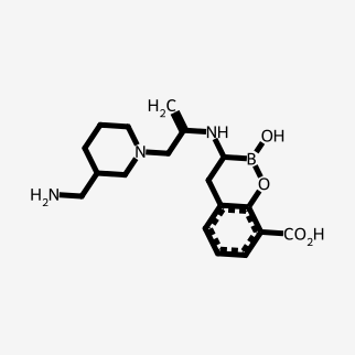 C=C(CN1CCCC(CN)C1)NC1Cc2cccc(C(=O)O)c2OB1O